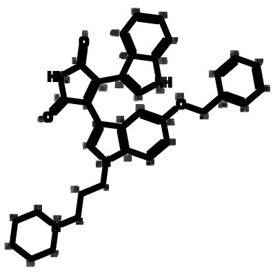 O=C1NC(=O)C(c2cn(CCCN3CCCCC3)c3ccc(OCc4ccccc4)cc23)=C1c1c[nH]c2ccccc12